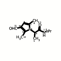 CCCNC(=O)C(C)n1c(C)cc(C=O)c1C